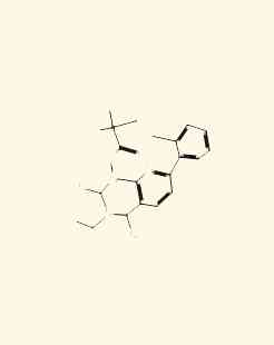 CCN1C(N)c2ccc(-c3ccccc3C)nc2N(OC(=O)C(F)(F)F)C1N